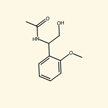 COc1ccccc1C(CO)NC(C)=O